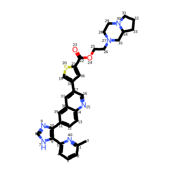 Cc1cccc(-c2[nH]cnc2-c2ccc3ncc(-c4csc(C(=O)OCCN5CCN6CCCC6C5)c4)cc3c2)n1